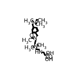 CC[N+](C)(C)Cc1ccc(CN(CC[N+](C)(C)CCNCCP(=O)(O)O)C(C)=O)cc1